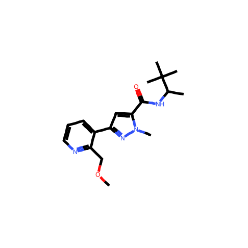 COCc1ncccc1-c1cc(C(=O)NC(C)C(C)(C)C)n(C)n1